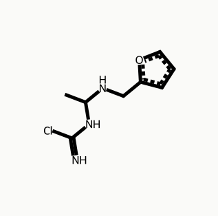 CC(NCc1ccco1)NC(=N)Cl